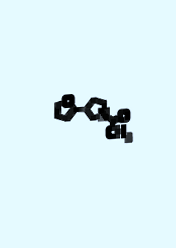 CC(=O)N1CCC(c2ccco2)C1